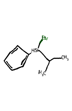 CC(C)[SiH](Br)c1ccccc1